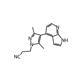 Cc1nn(CCC#N)c(C)c1-c1ccnc2[nH]ccc12